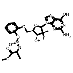 COC(=O)C(C)/N=[P+](\[O-])Oc1ccccc1OC[C@H]1OC(n2cnc3c(O)nc(N)nc32)[C@](C)(F)[C@@H]1O